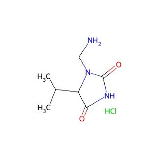 CC(C)C1C(=O)NC(=O)N1CN.Cl